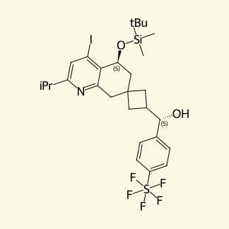 CC(C)c1cc(I)c2c(n1)CC1(CC([C@H](O)c3ccc(S(F)(F)(F)(F)F)cc3)C1)C[C@@H]2O[Si](C)(C)C(C)(C)C